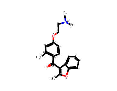 CCCCc1oc2ccccc2c1C(=O)c1ccc(OCCN(CC)CC)cc1C